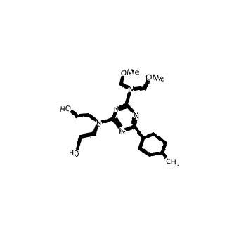 COCN(COC)c1nc(C2CCC(C)CC2)nc(N(CCO)CCO)n1